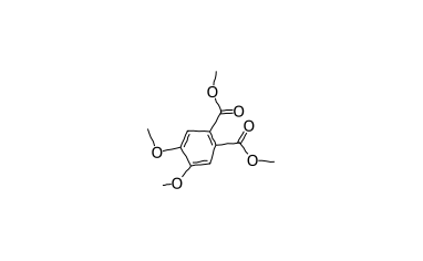 COC(=O)c1cc(OC)c(OC)cc1C(=O)OC